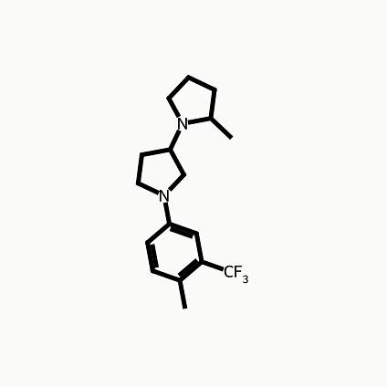 Cc1ccc(N2CCC(N3CCCC3C)C2)cc1C(F)(F)F